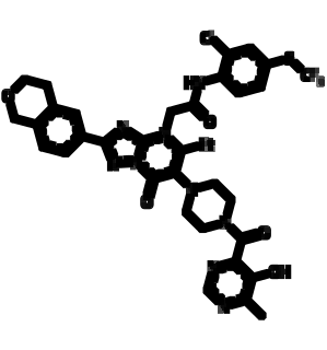 CCc1c(N2CCN(C(=O)c3ncnc(C)c3O)CC2)c(=O)n2nc(-c3ccc4c(c3)CCOC4)nc2n1CC(=O)Nc1ccc(SC(F)(F)F)cc1Cl